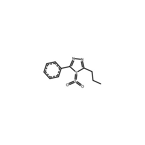 CCCC1=NN=C(c2ccccc2)S1=S(=O)=O